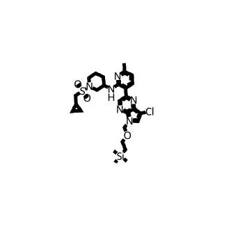 Cc1ccc(-c2cnc3c(n2)c(Cl)cn3COCC[Si](C)(C)C)c(NC2CCCN(S(=O)(=O)CC3CC3)C2)n1